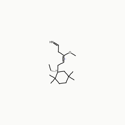 CC[C@]1(C/C=C(\CC=N)OC)CC(C)(C)CCC1(C)C